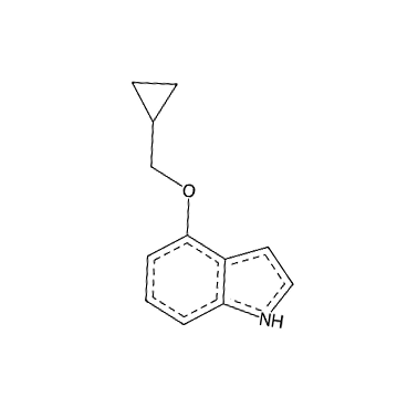 c1cc(OCC2CC2)c2cc[nH]c2c1